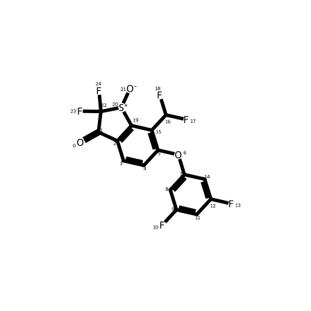 O=C1c2ccc(Oc3cc(F)cc(F)c3)c(C(F)F)c2[S+]([O-])C1(F)F